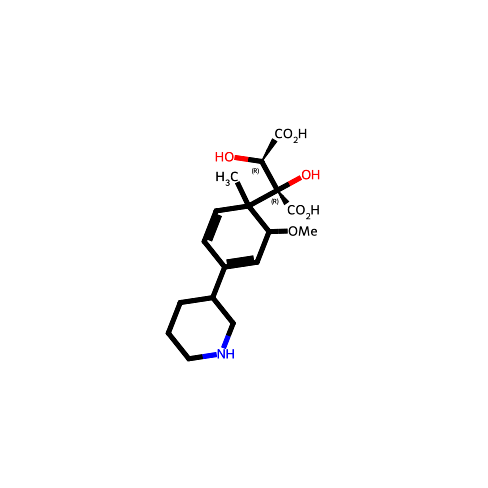 COC1C=C(C2CCCNC2)C=CC1(C)[C@](O)(C(=O)O)[C@@H](O)C(=O)O